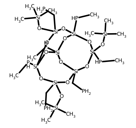 CP[Si]1(O[Si](C)(C)C)O[Si]2(CP)O[Si](CP)(O[Si](C)(C)C)O[Si]3(PC)O[Si](CP)(O[Si](C)(C)C)O[Si](PC)(O1)O[Si](PC)(O2)O3